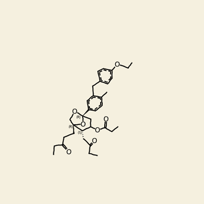 CCOc1ccc(Cc2cc([C@]34CC(OC(=O)CC)[C@H](CC(=O)CC)[C@](CCC(=O)CC)(CO3)O4)ccc2C)cc1